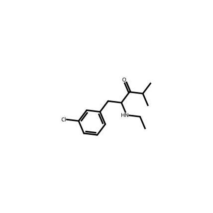 CCNC(Cc1cccc(Cl)c1)C(=O)C(C)C